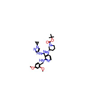 COc1ccc(CNc2nccc3c2c(Nc2cnn(C4CC4)c2)nn3[C@@H]2CCCN(C(=O)OC(C)(C)C)C2)c(OC)c1